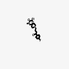 CCC1OC2(CCN(CCCC(=O)c3ccc(F)cc3)CC2)CN(C)C1=O